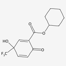 O=C1C=CC(O)(C(F)(F)F)C=C1C(=O)OC1CCCCC1